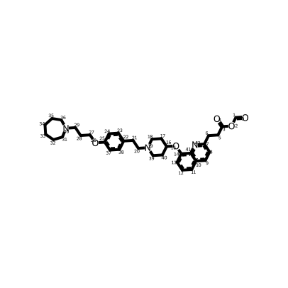 O=COC(=O)CCc1ccc2cccc(OC3CCN(CCc4ccc(OCCCN5CCCCCC5)cc4)CC3)c2n1